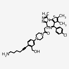 Cc1sc2c(c1C)C(c1ccc(Cl)cc1)=N[C@@H](CC(=O)N1CCN(c3ccc(C#CCCCCN)c(CO)c3)CC1)c1nnc(C)n1-2